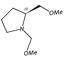 COC[C@@H]1CCCN1COC